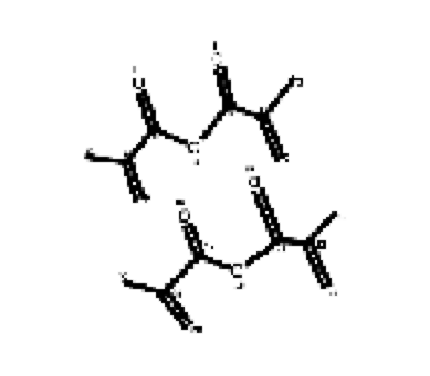 C=C(C)C(=O)OC(=O)C(=C)C.C=C(C)C(=O)OC(=O)C(=C)C